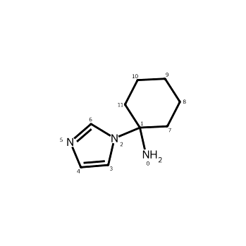 NC1(n2ccnc2)CCCCC1